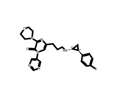 O=c1c(N2CCOCC2)nc(CCCN[C@@H]2C[C@H]2c2ccc(F)cc2)cn1-c1cncnc1